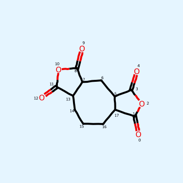 O=C1OC(=O)C2CC3C(=O)OC(=O)C3CCCC12